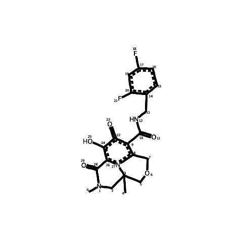 CN1CC2(C)COCc3c(C(=O)NCc4ccc(F)cc4F)c(=O)c(O)c(n32)C1=O